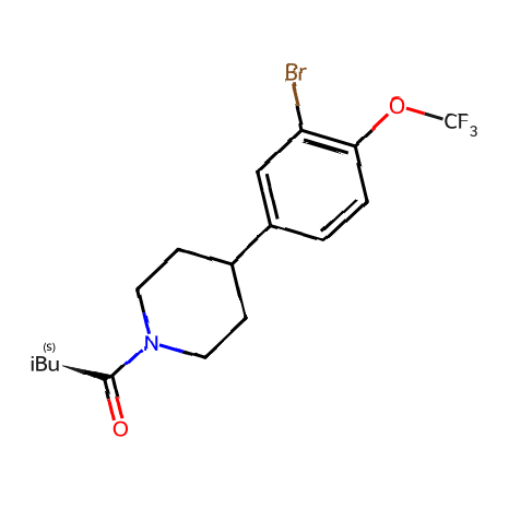 CC[C@H](C)C(=O)N1CCC(c2ccc(OC(F)(F)F)c(Br)c2)CC1